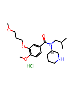 COCCCOc1cc(C(=O)N(CC(C)C)[C@@H]2CCCNC2)ccc1OC.Cl